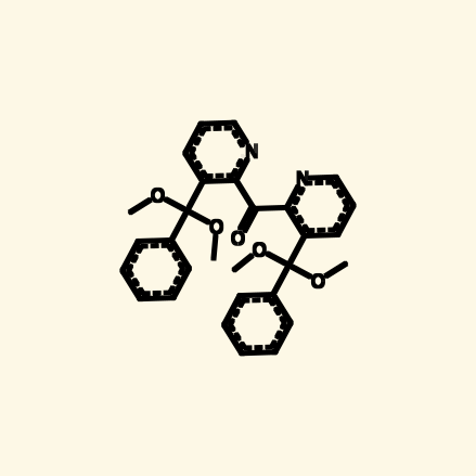 COC(OC)(c1ccccc1)c1cccnc1C(=O)c1ncccc1C(OC)(OC)c1ccccc1